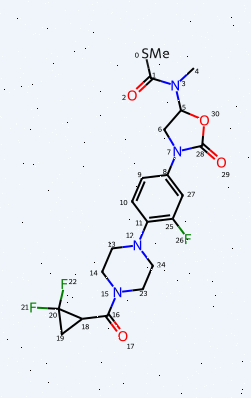 CSC(=O)N(C)C1CN(c2ccc(N3CCN(C(=O)C4CC4(F)F)CC3)c(F)c2)C(=O)O1